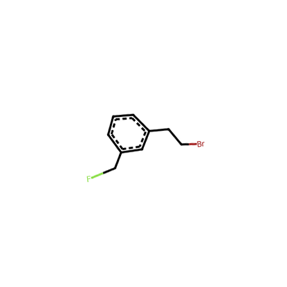 FCc1cccc(CCBr)c1